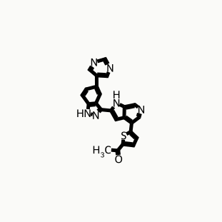 CC(=O)c1ccc(-c2cncc3[nH]c(-c4n[nH]c5ccc(-c6cncnc6)cc45)cc23)s1